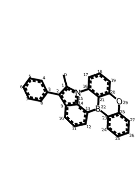 Cc1c(-c2ccccc2)c2cccc3c2n1-c1cccc2c1B3c1ccccc1O2